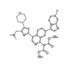 CN(C)Cc1nc(-c2cnc(N(C(=O)OC(C)(C)C)C(=O)OC(C)(C)C)c3cc(-c4cnc5cc(F)ccn45)ccc23)sc1C1CCOCC1